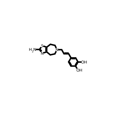 Nc1nc2c(s1)CCN(CC=Cc1ccc(O)c(O)c1)CC2